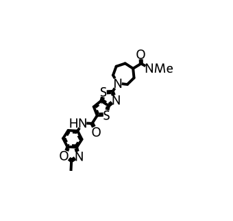 CNC(=O)C1CCCN(c2nc3sc(C(=O)Nc4ccc5oc(C)nc5c4)cc3s2)CC1